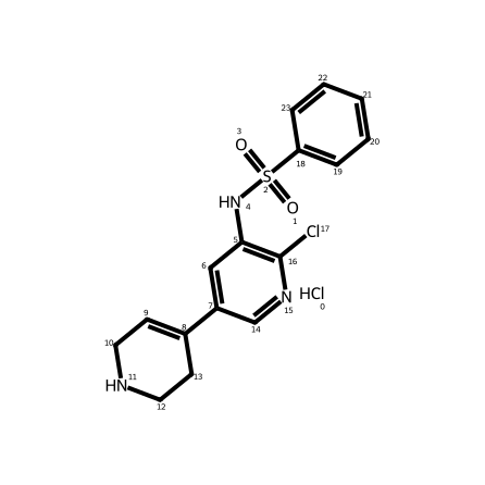 Cl.O=S(=O)(Nc1cc(C2=CCNCC2)cnc1Cl)c1ccccc1